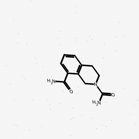 NC(=O)c1cccc2c1CN(C(N)=O)CC2